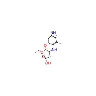 CCOC(=O)C(CC(=O)O)Nc1ccc(N)cc1C